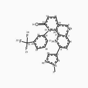 Cn1cc(-c2ccc3ncc4ccc(=O)n(-c5cccc(C(F)(F)F)c5)c4c3n2)cn1